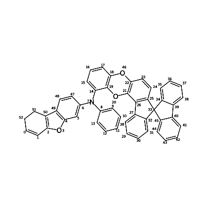 C1=Cc2oc3cc(N(c4ccccc4)c4cccc5c4Oc4c(ccc6c4-c4ccccc4C64c6ccccc6-c6ccccc64)O5)ccc3c2CC1